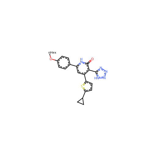 CCCCCCOc1ccc(-c2cc(-c3ccc(C4CC4)s3)c(-c3nnn[nH]3)c(=O)[nH]2)cc1